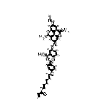 C=CC(=O)OCCCCCCOc1ccc(C(=O)Oc2ccc(N=Nc3ccc(-c4ccc(N=NC)cc4C(N)=O)c(C(N)=O)c3)cc2CO)cc1